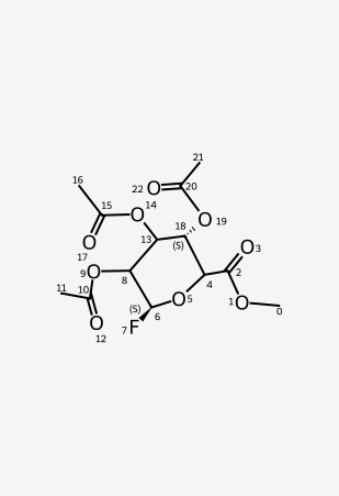 COC(=O)C1O[C@@H](F)C(OC(C)=O)C(OC(C)=O)[C@@H]1OC(C)=O